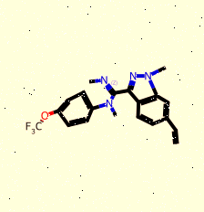 C=Cc1ccc2c(/C(=N/C)N(C)c3ccc(OC(F)(F)F)cc3)nn(C)c2c1